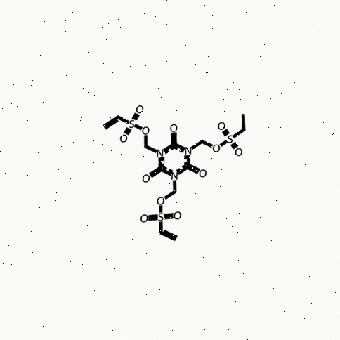 C=CS(=O)(=O)OCn1c(=O)n(COS(=O)(=O)C=C)c(=O)n(COS(=O)(=O)CC)c1=O